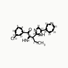 CCC(C(=N)C(=O)c1cccc(Cl)c1)c1ncc(-c2cccnc2)[nH]1